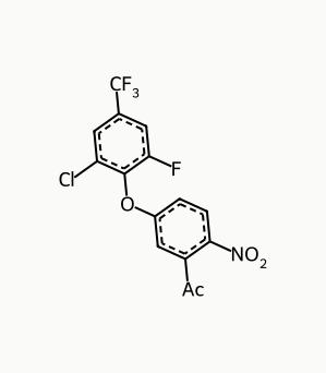 CC(=O)c1cc(Oc2c(F)cc(C(F)(F)F)cc2Cl)ccc1[N+](=O)[O-]